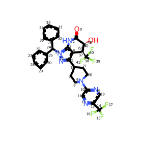 O=C1Nc2c(c(C3CCN(c4cnc(C(F)(F)F)cn4)CC3)nn2C(c2ccccc2)c2ccccc2)[C@H](C(F)(F)F)[C@H]1O